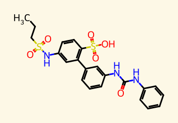 CCCS(=O)(=O)Nc1ccc(S(=O)(=O)O)c(-c2cccc(NC(=O)Nc3ccccc3)c2)c1